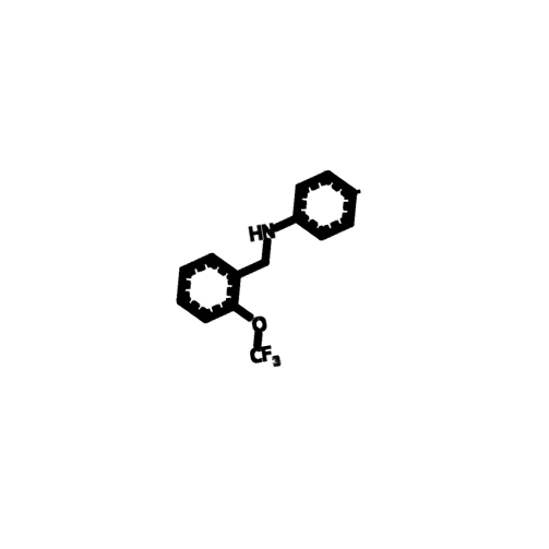 FC(F)(F)Oc1ccccc1CNc1cc[c]cc1